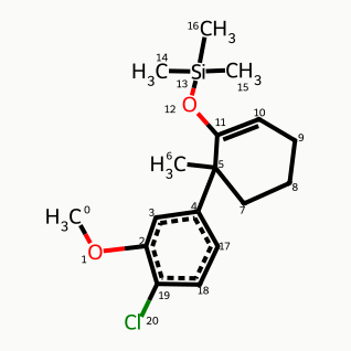 COc1cc(C2(C)CCCC=C2O[Si](C)(C)C)ccc1Cl